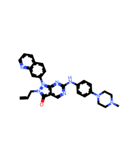 C=CCn1c(=O)c2cnc(Nc3ccc(N4CCN(C)CC4)cc3)nc2n1-c1ccc2cccnc2c1